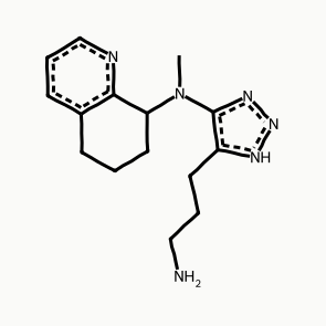 CN(c1nn[nH]c1CCCN)C1CCCc2cccnc21